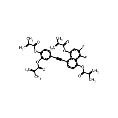 C=C(C)C(=O)Oc1ccc(C#Cc2ccc(OC(=O)C(=C)C)c3c(F)c(F)cc(OC(=O)C(=C)C)c23)cc1OC(=O)C(=C)C